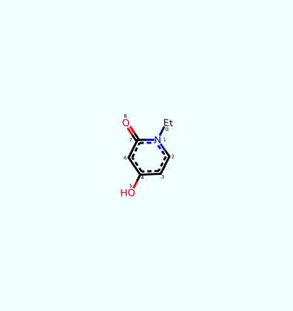 CCn1ccc(O)cc1=O